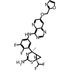 C[C@@]1(c2cc(Nc3ncnc4cc(OCc5ncco5)cnc34)cc(F)c2F)N=C(N)S[C@@]2(C(F)F)C[C@@H]12